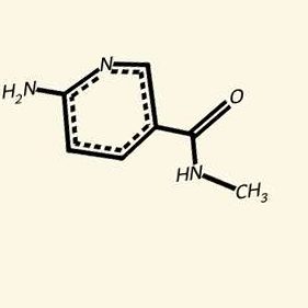 CNC(=O)c1ccc(N)nc1